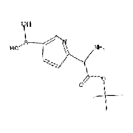 CC(C)(C)OC(=O)C(N)c1ccc(B(O)O)cn1